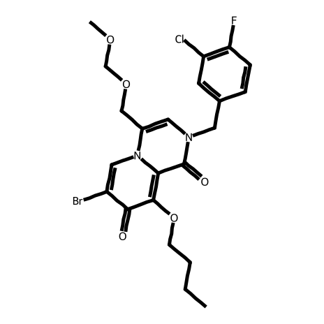 CCCCOc1c(=O)c(Br)cn2c(COCOC)cn(Cc3ccc(F)c(Cl)c3)c(=O)c12